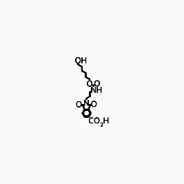 O=C(NCCCN1C(=O)c2ccc(C(=O)O)cc2C1=O)OCCCCCCO